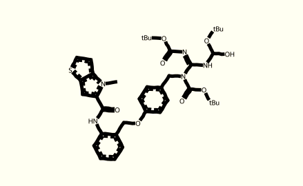 Cn1c(C(=O)Nc2ccccc2COc2ccc(CN(C(=O)OC(C)(C)C)/C(=N\C(=O)OC(C)(C)C)NC(O)OC(C)(C)C)cc2)cc2sccc21